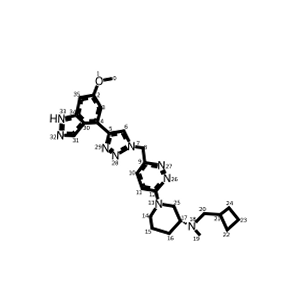 COc1cc(-c2cn(Cc3ccc(N4CCC[C@@H](N(C)CC5CCC5)C4)nn3)nn2)c2cn[nH]c2c1